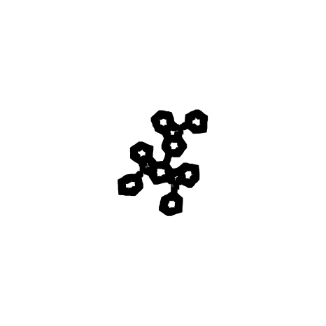 c1ccc(-n2c3ccccc3c3cc(-c4c5c6ccccc6n(-c6ccccc6)c5cc5c4c4ccccc4n5-c4ccccc4)ccc32)cc1